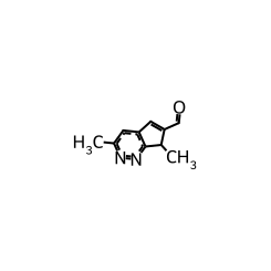 Cc1cc2c(nn1)C(C)C(C=O)=C2